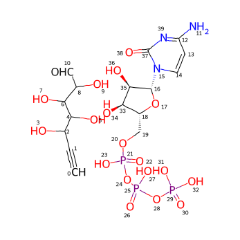 C#CC(O)C(O)C(O)C(O)C=O.Nc1ccn([C@@H]2O[C@H](COP(=O)(O)OP(=O)(O)OP(=O)(O)O)[C@@H](O)[C@H]2O)c(=O)n1